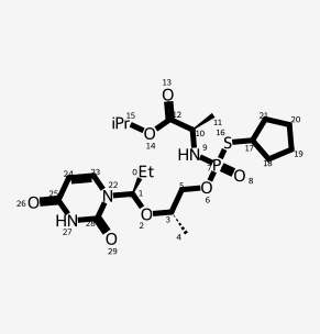 CC[C@@H](O[C@@H](C)COP(=O)(N[C@H](C)C(=O)OC(C)C)SC1CCCC1)n1ccc(=O)[nH]c1=O